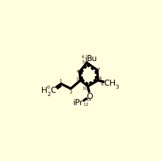 C=CCc1cc(C(C)CC)cc(C)c1OC(C)C